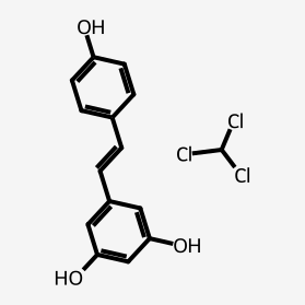 ClC(Cl)Cl.Oc1ccc(C=Cc2cc(O)cc(O)c2)cc1